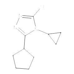 Sc1nnc(C2CCCC2)n1C1CC1